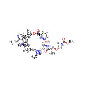 CCn1c(-c2cccnc2[C@H](C)OC)c2c3cc(ccc31)-c1nc(nn1C)C[C@H](NC(=O)[C@@H](COC1CN(C(=O)OC(C)(C)C)C1)C(C)C)C(=O)N1CCC[C@H](N1)C(=O)OCC(C)(C)C2